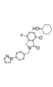 O=C1c2c(O[C@H]3CCCC[C@@H]3O)ccc(F)c2CN1Cc1ccc(-n2cccn2)cc1